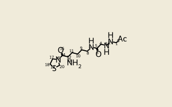 CC(=O)CNNCC(=O)NCCCC[C@H](N)C(=O)N1CCSC1